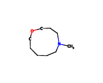 CN1CCCCCOCCC1